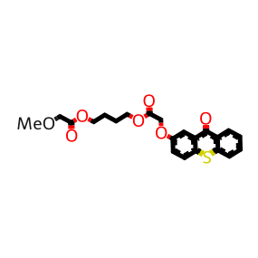 COCC(=O)OCCCCOC(=O)COc1ccc2sc3ccccc3c(=O)c2c1